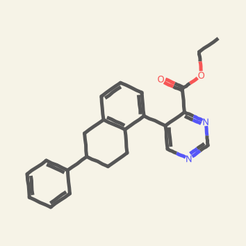 CCOC(=O)c1ncncc1-c1cccc2c1CCC(c1ccccc1)C2